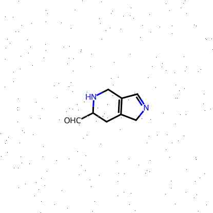 O=CC1CC2=C(C=NC2)CN1